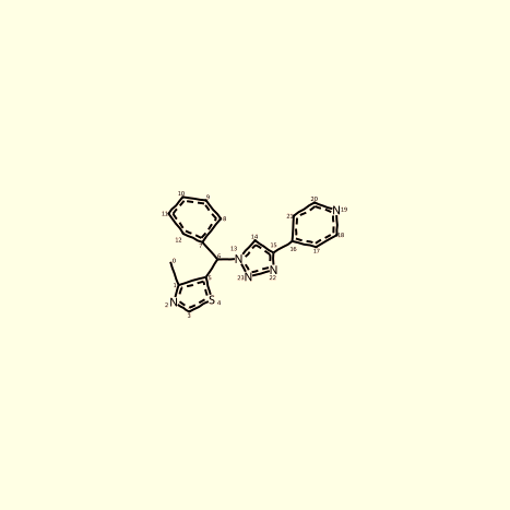 Cc1ncsc1C(c1ccccc1)n1cc(-c2ccncc2)nn1